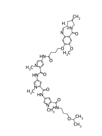 C=C1C[C@@H]2C=Nc3cc(OCCCC(=O)Nc4cc(C(=O)Nc5cc(C(=O)Nc6cc(C(=O)NCCCOC(C)C)n(C)c6)n(C)c5)n(C)c4)c(OC)cc3C(=O)N2C1